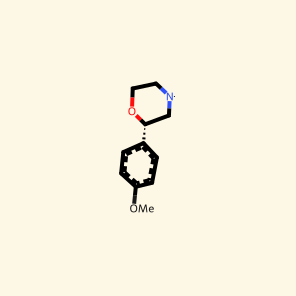 COc1ccc([C@H]2C[N]CCO2)cc1